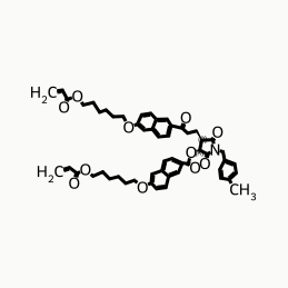 C=CC(=O)OCCCCCCOc1ccc2cc(C(=O)CC[C@H]3C(=O)N(Cc4ccc(C)cc4)C(=O)[C@@H]3OC(=O)c3ccc4cc(OCCCCCCOC(=O)C=C)ccc4c3)ccc2c1